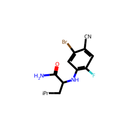 CC(C)CC(Nc1cc(Br)c(C#N)cc1F)C(N)=O